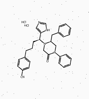 Cl.Cl.N#Cc1ccc(CCC[C@@H](c2cnc[nH]2)N2CC(=O)N(c3ccccc3)CC2Cc2ccccc2)cc1